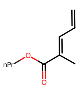 C=CC=C(C)C(=O)OCCC